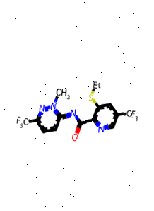 CCSc1cc(C(F)(F)F)cnc1C(=O)/N=c1\ccc(C(F)(F)F)nn1C